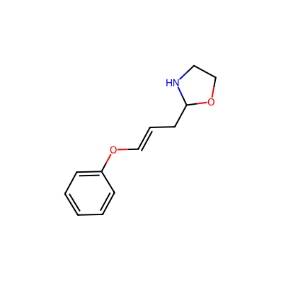 C(=COc1ccccc1)CC1NCCO1